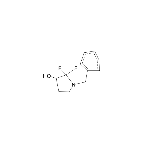 OC1CCN(Cc2ccccc2)C1(F)F